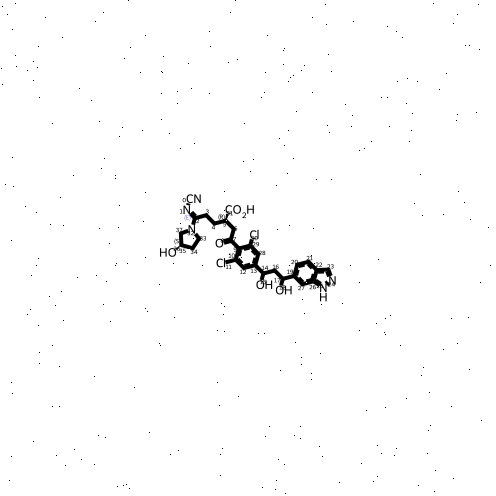 N#C/N=C(\CC[C@H](CC(=O)c1c(Cl)cc(C(O)CC(O)c2ccc3cn[nH]c3c2)cc1Cl)C(=O)O)N1CC[C@H](O)C1